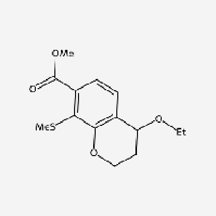 CCOC1CCOc2c1ccc(C(=O)OC)c2SC